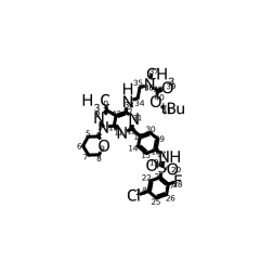 Cc1nn(C2CCCCO2)c2nc(-c3ccc(NS(=O)(=O)c4cc(Cl)ccc4F)cc3)nc(NCCN(C)C(=O)OC(C)(C)C)c12